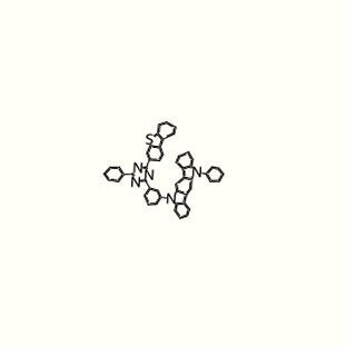 c1ccc(-c2nc(-c3cccc(-n4c5ccccc5c5cc6c(cc54)c4ccccc4n6-c4ccccc4)c3)nc(-c3ccc4c(c3)sc3ccccc34)n2)cc1